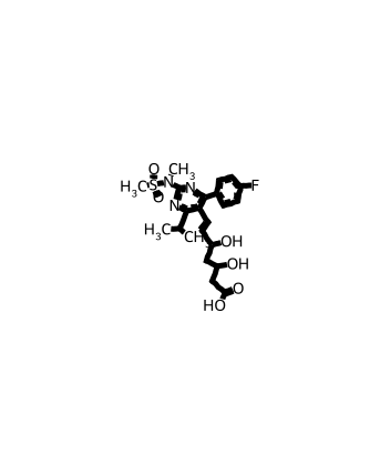 CC(C)c1nc(N(C)S(C)(=O)=O)nc(-c2ccc(F)cc2)c1C=CC(O)CC(O)CC(=O)O